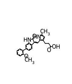 COc1ccccc1-c1ccc2c(c1)NC(=O)C2=Cc1[nH]c(C)cc1CCC(=O)O